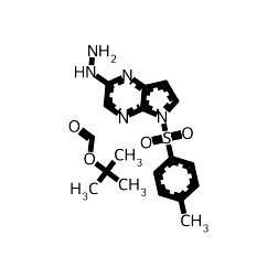 CC(C)(C)OC=O.Cc1ccc(S(=O)(=O)n2ccc3nc(NN)cnc32)cc1